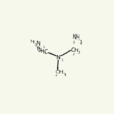 CN(C)C=O.N.N